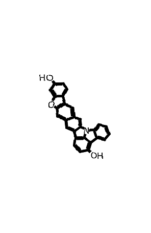 Oc1ccc2c(c1)oc1cc3cc4c5ccc(O)c6c7ccccc7n(c4cc3cc12)c56